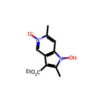 CCOC(=O)c1c(C)n(O)c2cc(C)[n+]([O-])cc12